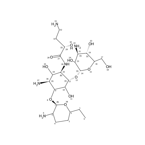 CCC1CCC(N)[C@@H](OC2C(O)[C@@H](O[C@H]3OC(CO)[C@@H](O)[C@H](N)C3O)[C@H](NC(=O)[C@@H](O)CCN)C(O)[C@@H]2N)O1